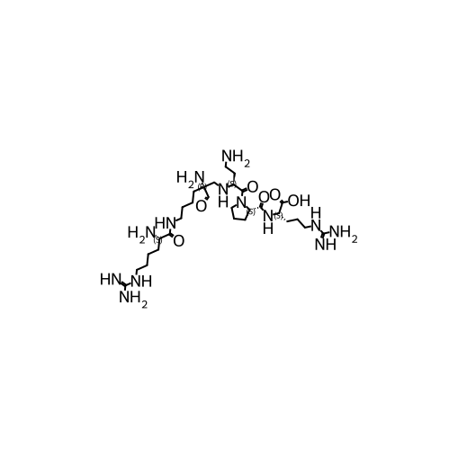 N=C(N)NCCCC[C@H](N)C(=O)NCCCC[C@](N)(C=O)CN[C@@H](CCN)C(=O)N1CCC[C@H]1C(=O)N[C@@H](CCCNC(=N)N)C(=O)O